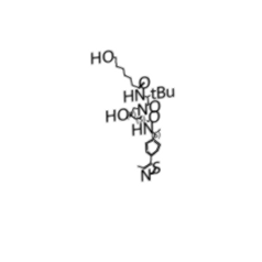 Cc1ncsc1-c1ccc([C@H](C)NC(=O)[C@@H]2C[C@@H](O)CN2C(=O)C(NC(=O)CCCCCCO)C(C)(C)C)cc1